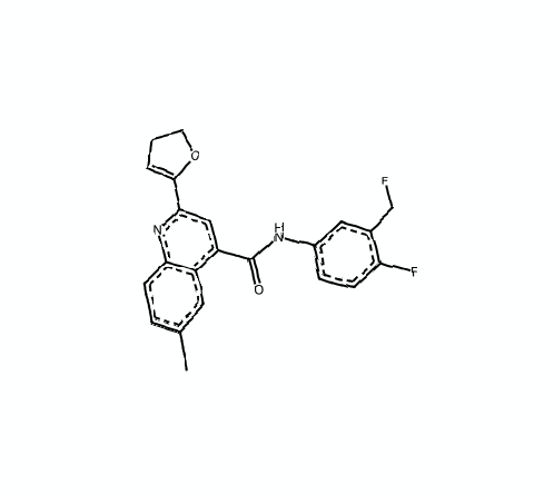 Cc1ccc2nc(C3=CCCO3)cc(C(=O)Nc3ccc(F)c(CF)c3)c2c1